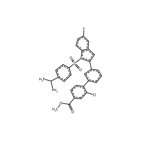 COC(=O)c1ccc(-c2cccc(-c3cc4cc(F)ccc4n3S(=O)(=O)c3ccc(C(P)P)cc3)c2)c(Cl)c1